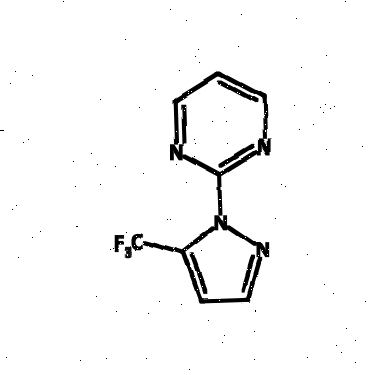 FC(F)(F)c1ccnn1-c1ncccn1